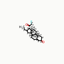 CCC1C[C@H]2[C@@H]3CCC4=CC(=O)CC[C@@H]4[C@H]3CC[C@]2(C)[C@H]1C(=O)CF